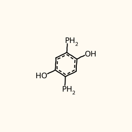 Oc1cc(P)c(O)cc1P